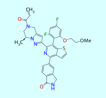 C=CC(=O)N1Cc2cc(-c3nc(-c4ccc5c(c4)CNC5=O)c4ccsc4c3-c3c(F)cc(F)cc3OCCOC)nn2[C@@H](C)C1